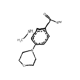 CCCC(=O)c1ccc(N2CCOCC2)cc1.CN